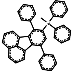 C[Si](c1ccccc1)(c1ccccc1)c1cc(-c2ccccc2)c2c(c1-c1ccccc1)-c1cccc3cccc-2c13